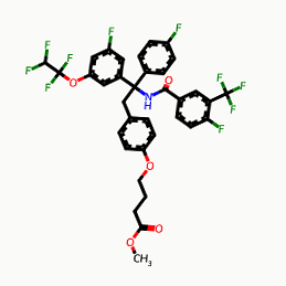 COC(=O)CCCOc1ccc(CC(NC(=O)c2ccc(F)c(C(F)(F)F)c2)(c2ccc(F)cc2)c2cc(F)cc(OC(F)(F)C(F)F)c2)cc1